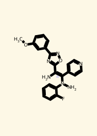 COc1cccc(-c2noc(/C(N)=C(\c3ccncc3)N(N)c3ccccc3F)n2)c1